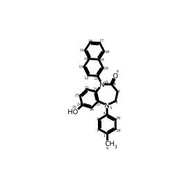 Cc1ccc(N2CCC(=O)N(c3ccc4ccccc4c3)c3ccc(O)cc32)cc1